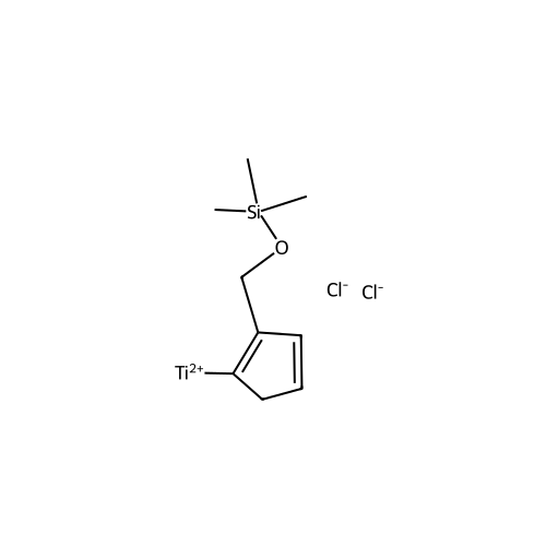 C[Si](C)(C)OCC1=[C]([Ti+2])CC=C1.[Cl-].[Cl-]